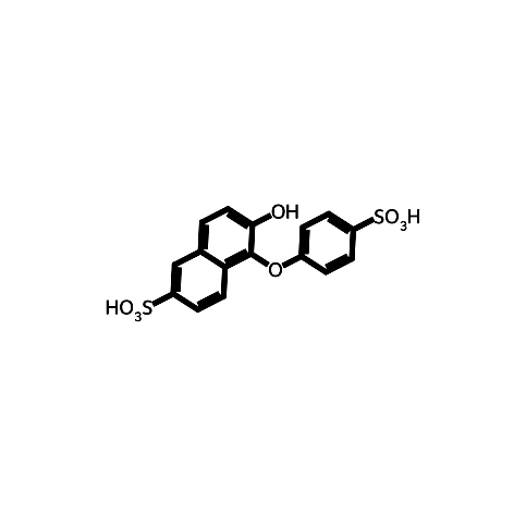 O=S(=O)(O)c1ccc(Oc2c(O)ccc3cc(S(=O)(=O)O)ccc23)cc1